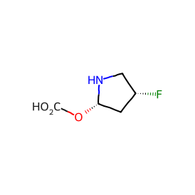 O=C(O)O[C@H]1C[C@@H](F)CN1